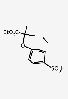 CC.CCOC(=O)C(C)(C)Oc1ccc(S(=O)(=O)O)cc1